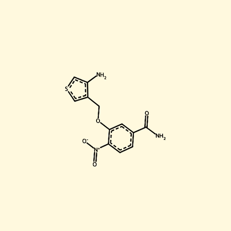 NC(=O)c1ccc([N+](=O)[O-])c(OCc2cscc2N)c1